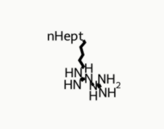 CCCCCCCCCCCCNC(=N)NNC(=N)N